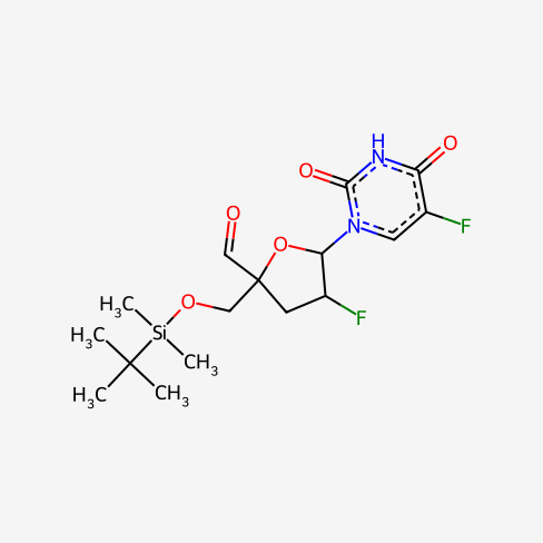 CC(C)(C)[Si](C)(C)OCC1(C=O)CC(F)C(n2cc(F)c(=O)[nH]c2=O)O1